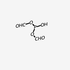 O=COP(O)OC=O